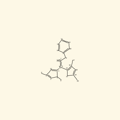 CC1=CC(C)[C]([Ti](=[SiH]Cc2ccccc2)[C]2=C(C)C=C(C)C2)=C1